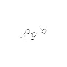 CC(C)(C)[S@@+]([O-])NC(CF)c1cccc(-c2cc(COc3ccccc3CC(=O)O)cc3ccoc23)c1